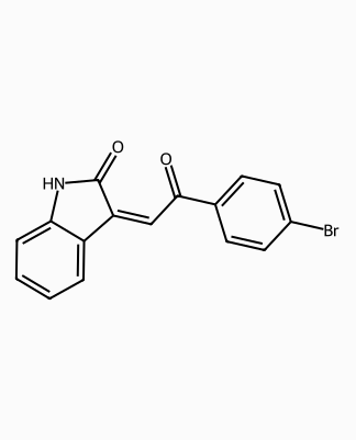 O=C1Nc2ccccc2C1=CC(=O)c1ccc(Br)cc1